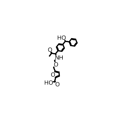 CC(=O)C(NCOCc1ccc(C(=O)O)o1)c1ccc(C(O)c2ccccc2)cc1